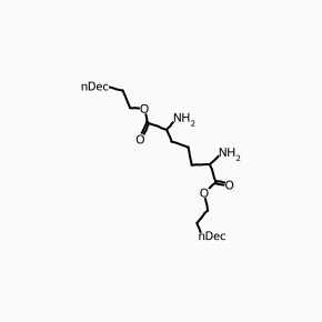 CCCCCCCCCCCCOC(=O)C(N)CCCC(N)C(=O)OCCCCCCCCCCCC